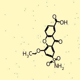 CCOc1cc(S(N)(=O)=O)cc2c(=O)c3cc(C(=O)O)ccc3oc12